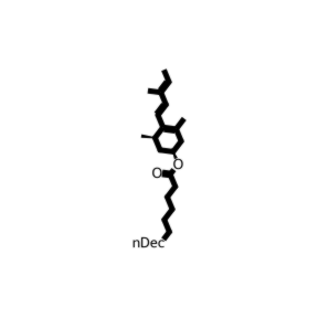 C/C=C(C)/C=C/C1=C(C)C[C@@H](OC(=O)CCCCCCCCCCCCCCC)C[C@H]1C